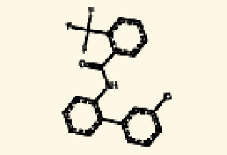 O=C(Nc1ccccc1-c1cccc(Cl)c1)c1ccccc1C(F)(F)F